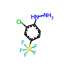 NNc1ccc(S(F)(F)(F)(F)F)cc1Cl